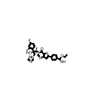 CCOC(=N)c1ccc(-c2cc3ncn([C@H](C)[C@](O)(Cn4cncn4)c4ccc(F)cc4F)c(=O)c3s2)cc1